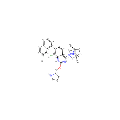 CN1CCCC1COc1nc(N2C[C@H]3CC[C@@H](C2)N3)c2ccc(-c3cccc4ccc(F)cc34)c(F)c2n1